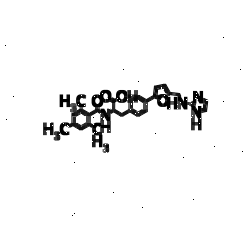 Cc1cc(C)c(C(=O)NC(Cc2ccc(-c3ccc(CNc4ncc[nH]4)o3)cc2)C(=O)O)c(C)c1